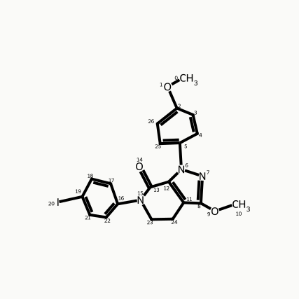 COc1ccc(-n2nc(OC)c3c2C(=O)N(c2ccc(I)cc2)CC3)cc1